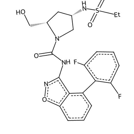 CCS(=O)(=O)N[C@H]1C[C@@H](CO)N(C(=O)Nc2noc3cccc(-c4c(F)cccc4F)c23)C1